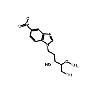 COC(CO)[C@H](O)CCn1cnc2cc([N+](=O)[O-])ccc21